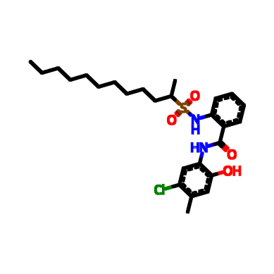 CCCCCCCCCCC(C)S(=O)(=O)Nc1ccccc1C(=O)Nc1cc(Cl)c(C)cc1O